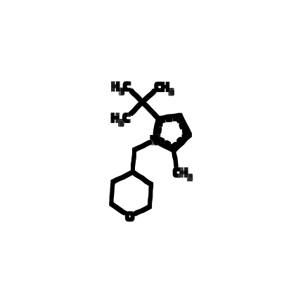 Cc1ccc(C(C)(C)C)n1CC1CCOCC1